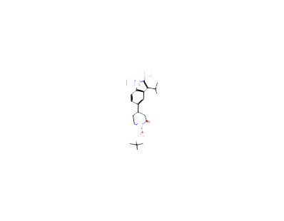 CC(C)c1c(Br)[nH]c2ccc(C3CCN(C(=O)OC(C)(C)C)C(=O)C3)cc12